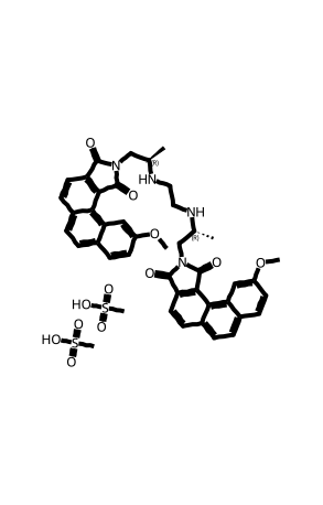 COc1ccc2ccc3ccc4c(c3c2c1)C(=O)N(C[C@@H](C)NCCN[C@H](C)CN1C(=O)c2ccc3ccc5ccc(OC)cc5c3c2C1=O)C4=O.CS(=O)(=O)O.CS(=O)(=O)O